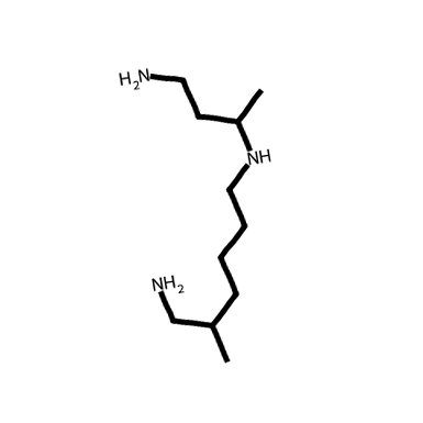 CC(CN)CCCCNC(C)CCN